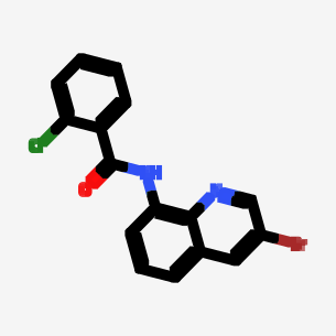 O=C(Nc1cccc2cc(Br)cnc12)c1ccccc1Cl